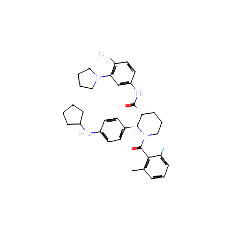 Cc1cccc(F)c1C(=O)N1CCC[C@H](C(=O)Nc2ccc(C#N)c(N3CCCC3)c2)[C@@H]1c1ccc(NC2CCCC2)cc1